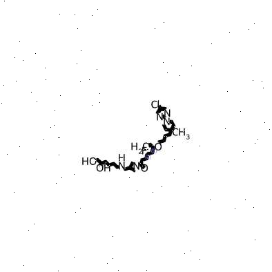 C=C/C(=C\C(F)=C\CC(=O)N1CC(CNCCCC[C@H](O)CO)C1)OCCCCC1(C)CCN(c2ncc(Cl)cn2)CC1